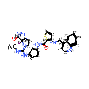 N#CN=C(Nc1cccc(NC(=O)c2sccc2NCc2ccnc3ccccc23)c1)N1CCC[C@@]1(I)C(N)=O